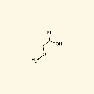 CCC(O)COP